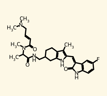 Cc1c(/C=C2\C(=O)Nc3ccc(F)cc32)[nH]c2c1CCC(CNC(=O)C(C)N(C)C(=O)/C=C/CN(C)C)C2